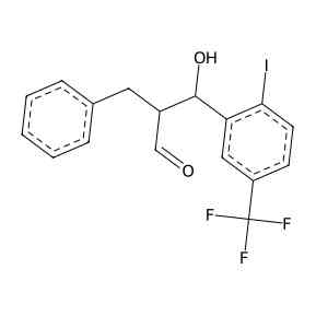 O=CC(Cc1ccccc1)C(O)c1cc(C(F)(F)F)ccc1I